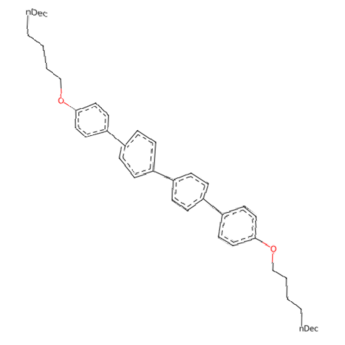 CCCCCCCCCCCCCCOc1ccc(-c2ccc(-c3ccc(-c4ccc(OCCCCCCCCCCCCCC)cc4)cc3)cc2)cc1